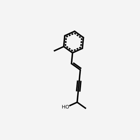 Cc1ccccc1C=CC#CC(C)O